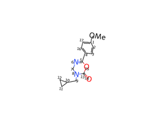 COc1ccc(C2=NCN(CC3CC3)C(=O)O2)cc1